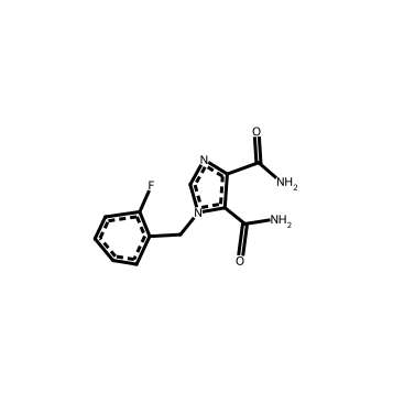 NC(=O)c1ncn(Cc2ccccc2F)c1C(N)=O